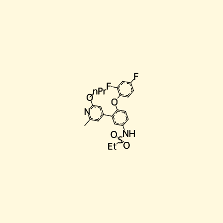 CCCOc1cc(-c2cc(NS(=O)(=O)CC)ccc2Oc2ccc(F)cc2F)cc(C)n1